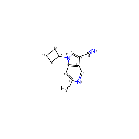 Cc1cc2c(cn1)c(C#N)cn2C1CCC1